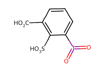 O=C(O)c1cccc(I(=O)=O)c1S(=O)(=O)O